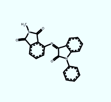 CN1C(=O)c2cccc(N=C3C(=O)N(c4ccccc4)c4ccccc43)c2C1=O